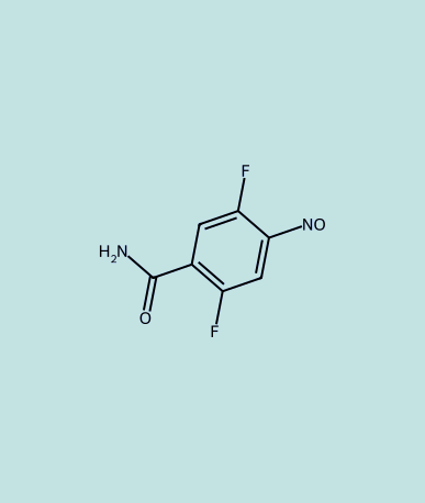 NC(=O)c1cc(F)c(N=O)cc1F